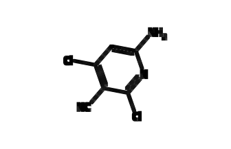 N#Cc1c(Cl)cc(N)nc1Cl